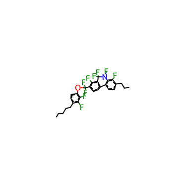 CCCCCc1ccc(OC(F)(F)c2ccc3c(c2F)C(F)(F)N(F)c2c-3ccc(CCC)c2F)c(F)c1F